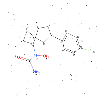 NC(=O)N(O)C1CCC12CCC(c1ccc(F)cc1)C2